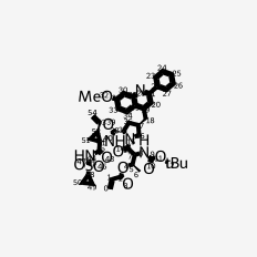 C=CC(=O)O[C@H](C)C(NC(=O)OC(C)(C)C)C(=O)N1C[C@H](Cc2cc(-c3ccccc3)nc3cc(OC)ccc23)C[C@H]1C(=O)N[C@]1(C(=O)NS(=O)(=O)C2CC2)C[C@H]1C=C